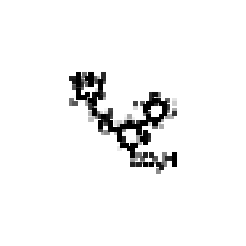 O=C(O)c1cc(OCCN2CCNCC2)cc(-c2ccccc2)n1